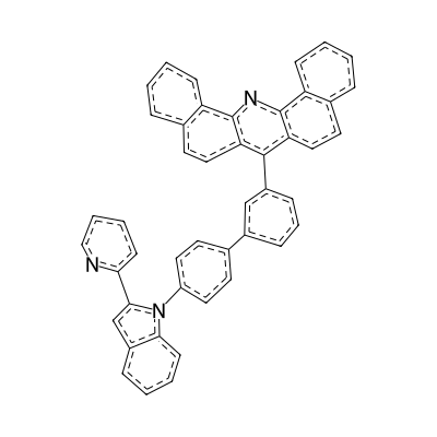 c1ccc(-c2cc3ccccc3n2-c2ccc(-c3cccc(-c4c5ccc6ccccc6c5nc5c4ccc4ccccc45)c3)cc2)nc1